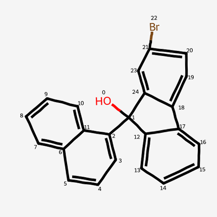 OC1(c2cccc3ccccc23)c2ccccc2-c2ccc(Br)cc21